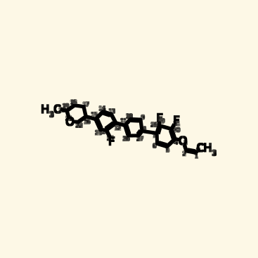 C/C=C\Oc1ccc(-c2ccc(-c3ccc(C4CCC(C)OC4)cc3F)cc2)c(F)c1F